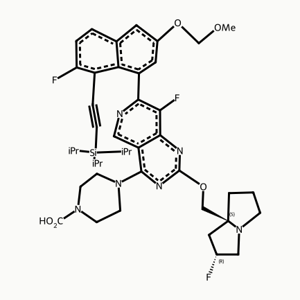 COCOc1cc(-c2ncc3c(N4CCN(C(=O)O)CC4)nc(OC[C@@]45CCCN4C[C@H](F)C5)nc3c2F)c2c(C#C[Si](C(C)C)(C(C)C)C(C)C)c(F)ccc2c1